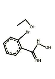 CCO.N=C(NO)c1ccccc1Br